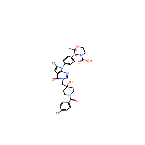 C[C@H]1OCCN(C(=O)O)[C@@H]1c1ccc(-n2c(Cl)cc3c(=O)n(CC4(O)CCN(C(=O)c5ccc(Cl)cc5)CC4)cnc32)cc1